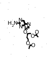 CC(=O)OCCC(COC(C)=O)On1cnc2cnc(N)nc21